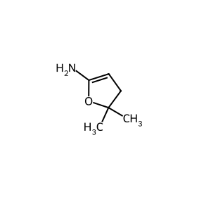 CC1(C)CC=C(N)O1